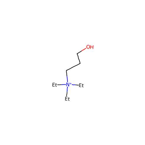 CC[N+](CC)(CC)CCCO